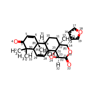 CC1(C)C(=O)C=C[C@]2(C)[C@H]3CC[C@@]4(C)[C@H](c5ccoc5)OC(=O)[C@H]5O[C@]54[C@]3(C)C=C[C@@H]12